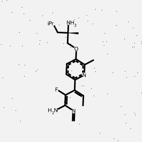 C=N/C(N)=C(F)\C(=C/C)c1ccc(OC[C@@](C)(N)CC(C)C)c(C)n1